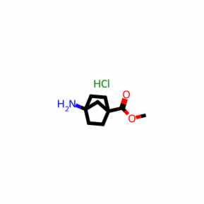 COC(=O)C12CCC(N)(CC1)C2.Cl